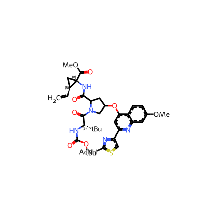 C=C[C@H]1C[C@]1(NC(=O)C1CC(Oc2cc(-c3csc(NC(C)=O)n3)nc3cc(OC)ccc23)CN1C(=O)[C@@H](NC(=O)OC(C)(C)C)C(C)(C)C)C(=O)OC